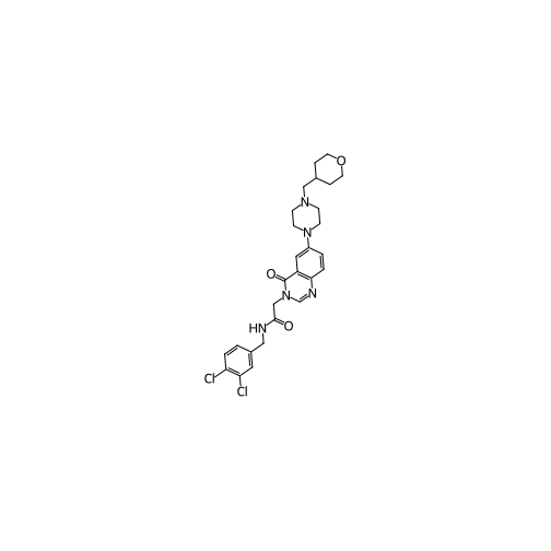 O=C(Cn1cnc2ccc(N3CCN(CC4CCOCC4)CC3)cc2c1=O)NCc1ccc(Cl)c(Cl)c1